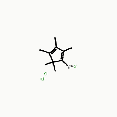 CC1=C(C)C(C)(C)[C]([Ti+3])=C1C.[Cl-].[Cl-].[Cl-]